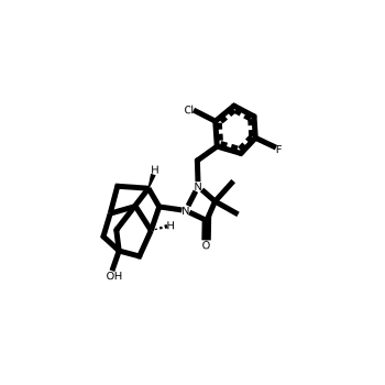 CC1(C)C(=O)N(C2[C@@H]3CC4C[C@H]2CC(O)(C4)C3)N1Cc1cc(F)ccc1Cl